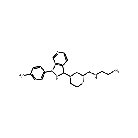 Cc1ccc(N2NC(N3CCOC(CNCCN)C3)c3ccncc32)cc1